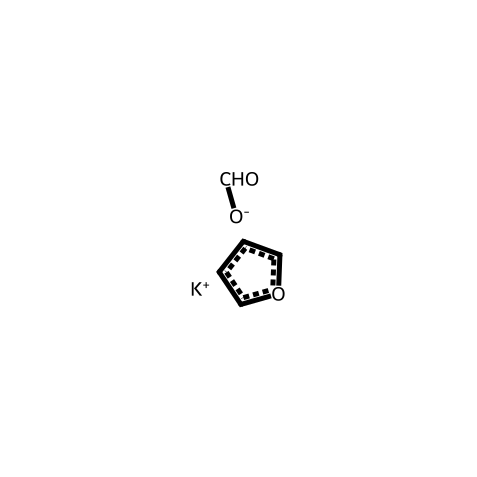 O=C[O-].[K+].c1ccoc1